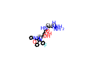 CC(C)c1c(C(=O)Nc2ccccc2)c(-c2ccccc2)c(-c2ccc(F)cc2)n1CC[C@@H](O)C[C@@H](O)CC(=O)N[C@@H](C=O)CCCNC(=N)N